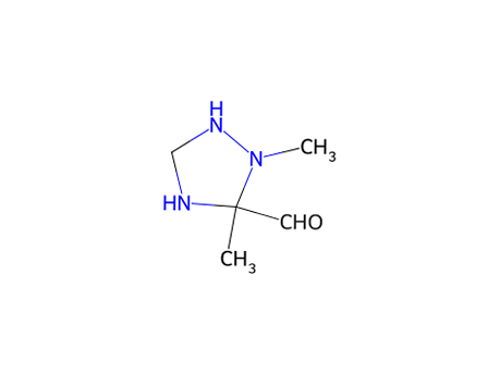 CN1NCNC1(C)C=O